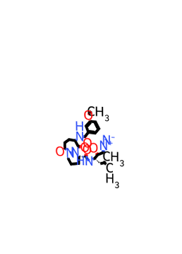 COc1cccc(C(=O)NC2CCC(=O)N3CCC[C@@H](C(=O)N[C@@H](CC(C)C)C(=O)C=[N+]=[N-])N3C2=O)c1